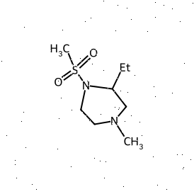 CCC1CN(C)CCN1S(C)(=O)=O